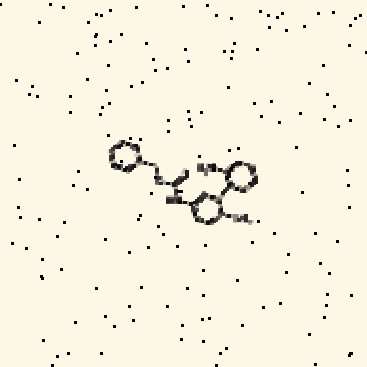 Nc1ccccc1-c1cc(NC(=O)OCc2ccccc2)ccc1N